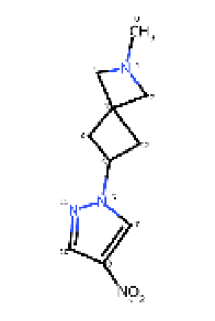 CN1CC2(CC(n3cc([N+](=O)[O-])cn3)C2)C1